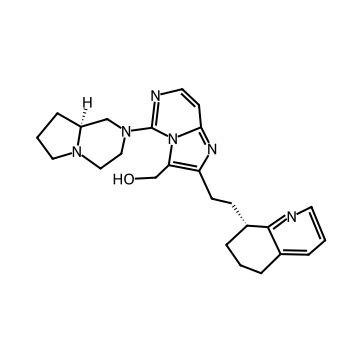 OCc1c(CC[C@H]2CCCc3cccnc32)nc2ccnc(N3CCN4CCC[C@H]4C3)n12